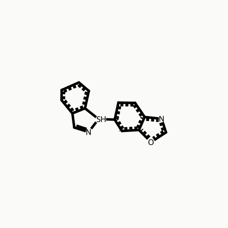 [c]1c([SH]2N=Cc3ccccc32)ccc2ncoc12